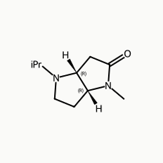 CC(C)N1CC[C@@H]2[C@H]1CC(=O)N2C